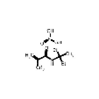 C=C(C)C(=O)NC(C)(CC)CC.O=[PH](O)O